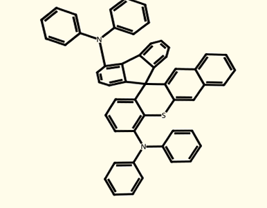 c1ccc(N(c2ccccc2)c2cccc3c2Sc2cc4ccccc4cc2C32c3ccccc3-c3c(N(c4ccccc4)c4ccccc4)cccc32)cc1